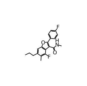 CCCc1cc2oc(-c3ccc(F)cc3)c(C(=O)NC)c2c(F)c1C